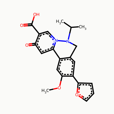 COc1cc2c(cc1-c1ccco1)CN(C(C)C)n1cc(C(=O)O)c(=O)cc1-2